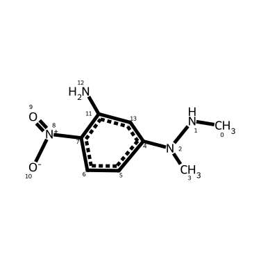 CNN(C)c1ccc([N+](=O)[O-])c(N)c1